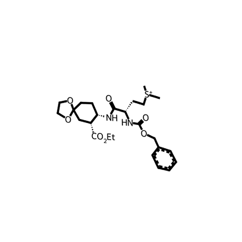 CCOC(=O)[C@@H]1CC2(CC[C@@H]1NC(=O)[C@H](CC[S+](C)C)NC(=O)OCc1ccccc1)OCCO2